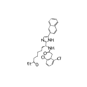 CCC(=O)CCCCC[C@H](NC(=O)Cc1c(Cl)cccc1Cl)c1ncc(-c2ccc3ccccc3c2)[nH]1